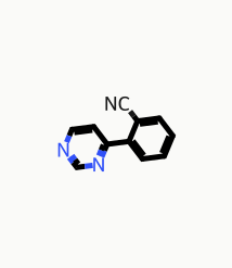 N#Cc1ccccc1-c1ccncn1